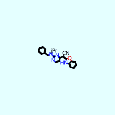 CC(C)N(Cc1ccccc1)c1nccc(C(C#N)=C2Nc3ccccc3O2)n1